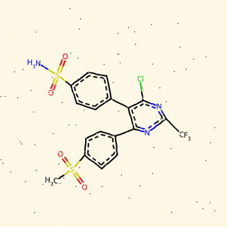 CS(=O)(=O)c1ccc(-c2nc(C(F)(F)F)nc(Cl)c2-c2ccc(S(N)(=O)=O)cc2)cc1